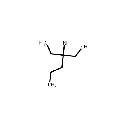 CCCC([NH])(CC)CC